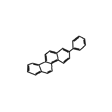 [c]1c(-c2ccccc2)ccc2c1ccc1c3ccccc3ccc21